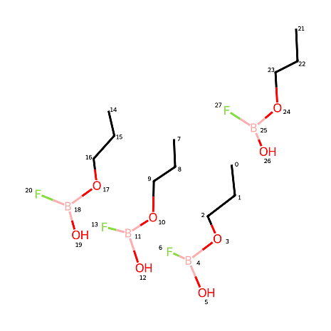 CCCOB(O)F.CCCOB(O)F.CCCOB(O)F.CCCOB(O)F